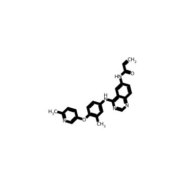 C=CC(=O)Nc1ccc2ncnc(Nc3ccc(Oc4ccc(C)nc4)c(C)c3)c2c1